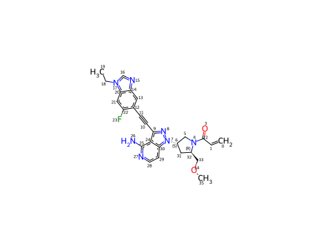 C=CC(=O)N1C[C@@H](n2nc(C#Cc3cc4ncn(CC)c4cc3F)c3c(N)nccc32)C[C@@H]1COC